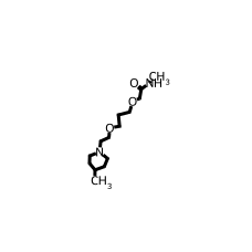 CNC(=O)COCCCOCCN1CCC(C)CC1